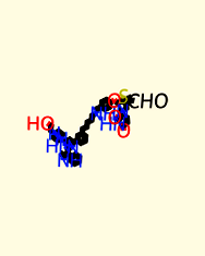 CC(=N)/C(=C1/N=C(c2cccc(CCCCCNCc3ccc(OCc4scc(C=O)c4CN(C)C4CCC(=O)NC4=O)cc3)c2)C=C(N2CCN(CCO)CC2)N1)c1ccccc1